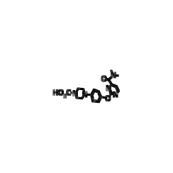 CN(C)C(=O)c1ccnc(Oc2ccc(N3CCN(C(=O)O)CC3)cc2)n1